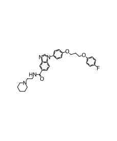 O=C(NCCN1CCCCC1)c1ccc2c(c1)ncn2-c1ccc(OCCCOc2ccc(F)cc2)cc1